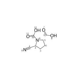 N#CC1CC[C@@H](C(=O)O)N1C(=O)O